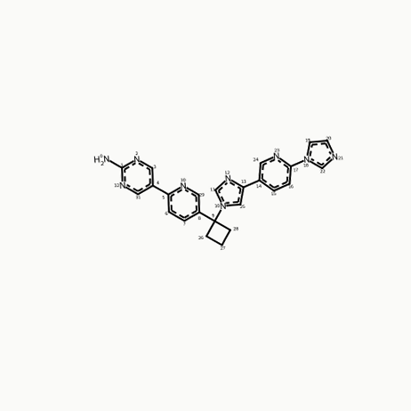 Nc1ncc(-c2ccc(C3(n4cnc(-c5ccc(-n6ccnc6)nc5)c4)CCC3)cn2)cn1